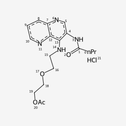 CCCC(=O)Nc1cnc2cccnc2c1NCCOCCOC(C)=O.Cl